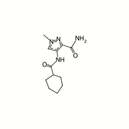 Cn1cc(NC(=O)C2CCCCC2)c(C(N)=O)n1